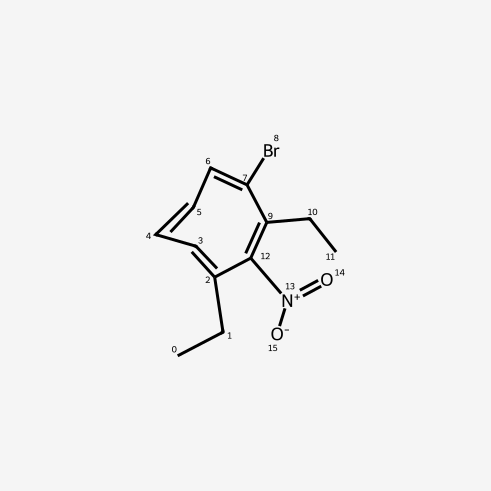 CCC1=C\C=C\C=C(Br)/C(CC)=C\1[N+](=O)[O-]